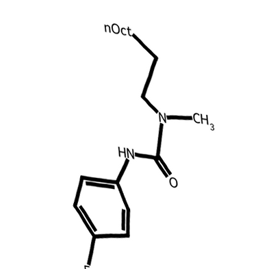 CCCCCCCCCCN(C)C(=O)Nc1ccc(F)cc1